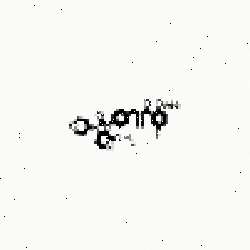 COc1ccc(F)cc1C(=O)NCc1ccc(-n2c(=O)n(C3CCOCC3)c3ccnc(N)c32)cc1